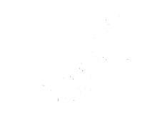 CC1c2ccccc2CCN1C(=O)c1cc2c(Cl)cc(Cl)cn2n1